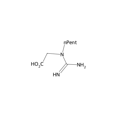 CCCCCN(CC(=O)O)C(=N)N